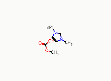 CCCN1C=CN(C)C1.COC(=O)O